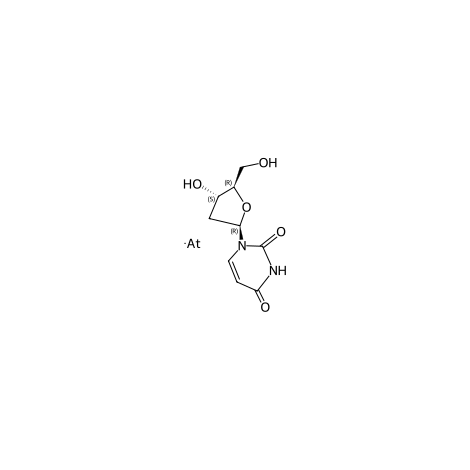 O=c1ccn([C@H]2C[C@H](O)[C@@H](CO)O2)c(=O)[nH]1.[At]